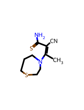 CC(=C(C#N)C(N)=S)N1CCCSCC1